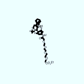 CCOC(=O)COCCOCCOCCOCC(=O)Nc1cc(F)c([C@@H]2c3[nH]c4ccccc4c3C[C@@H](C)N2CC(C)(C)F)c(F)c1